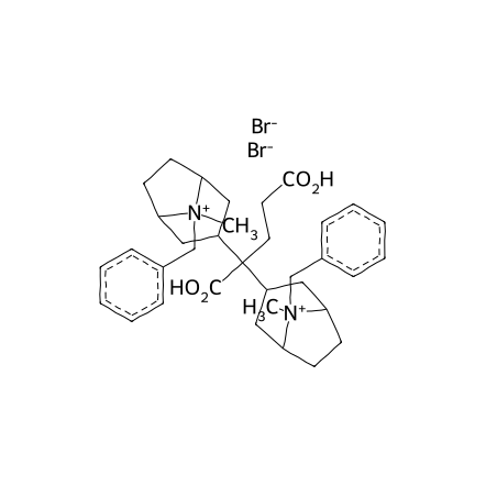 C[N+]1(Cc2ccccc2)C2CCC1CC(C(CCC(=O)O)(C(=O)O)C1CC3CCC(C1)[N+]3(C)Cc1ccccc1)C2.[Br-].[Br-]